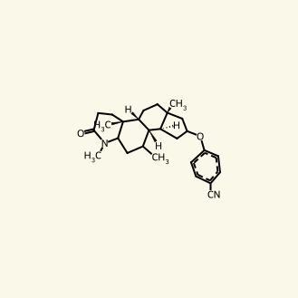 CC1CC2N(C)C(=O)CC[C@]2(C)[C@@H]2CC[C@]3(C)CC(Oc4ccc(C#N)cc4)C[C@H]3[C@H]12